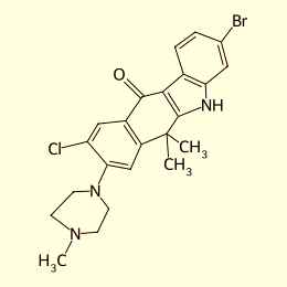 CN1CCN(c2cc3c(cc2Cl)C(=O)c2c([nH]c4cc(Br)ccc24)C3(C)C)CC1